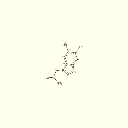 C[C@H](N)Cn1ccc2cc(F)c(O)cc21